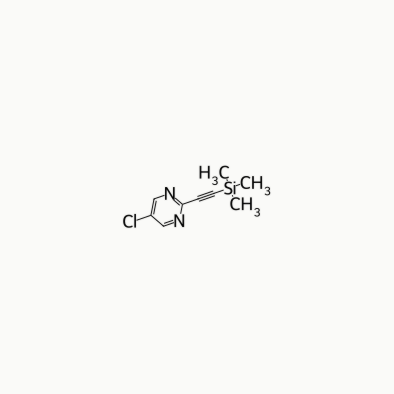 C[Si](C)(C)C#Cc1ncc(Cl)cn1